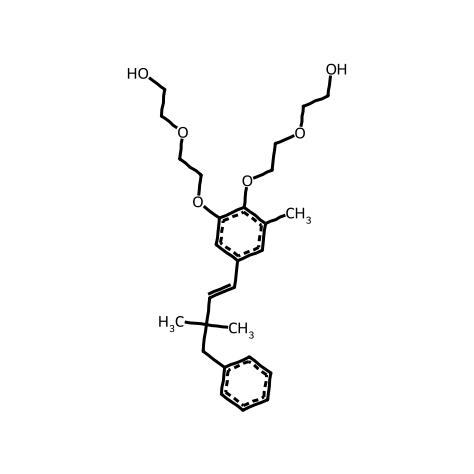 Cc1cc(C=CC(C)(C)Cc2ccccc2)cc(OCCOCCO)c1OCCOCCO